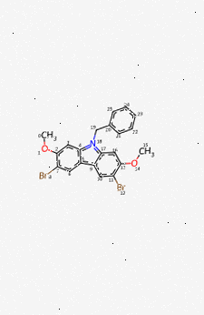 COc1cc2c(cc1Br)c1cc(Br)c(OC)cc1n2Cc1ccccc1